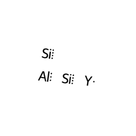 [Al].[Si].[Si].[Y]